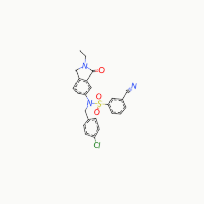 CCN1Cc2ccc(N(Cc3ccc(Cl)cc3)S(=O)(=O)c3cccc(C#N)c3)cc2C1=O